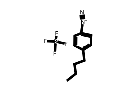 CCCCc1ccc([N+]#N)cc1.F[B-](F)(F)F